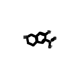 O=[N+]([O-])c1cc2c(cc1Br)CNCC2